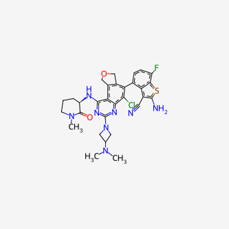 CN1CCC[C@@H](Nc2nc(N3CC(N(C)C)C3)nc3c(Cl)c(-c4ccc(F)c5sc(N)c(C#N)c45)c4c(c23)COC4)C1=O